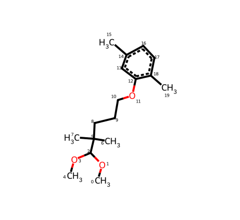 COC(OC)C(C)(C)CCCOc1cc(C)ccc1C